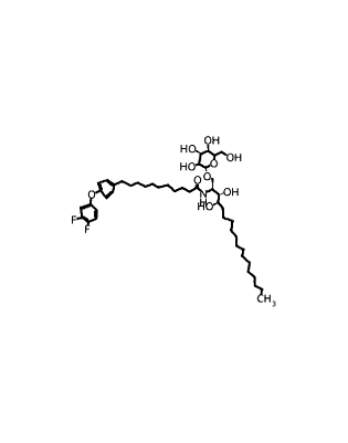 CCCCCCCCCCCCCC[C@@H](O)[C@@H](O)[C@H](CO[C@H]1OC(CO)[C@H](O)[C@H](O)C1O)NC(=O)CCCCCCCCCCc1ccc(Oc2ccc(F)c(F)c2)cc1